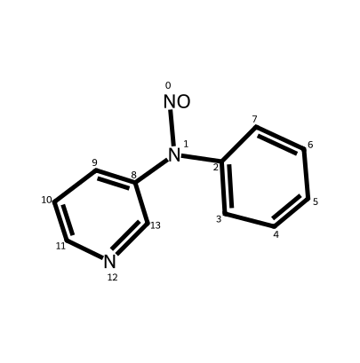 O=NN(c1ccccc1)c1cccnc1